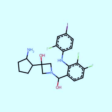 NC1CCCC1C1(O)CN(C(O)c2ccc(F)c(F)c2Nc2ccc(I)cc2F)C1